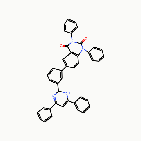 O=c1c2cc(-c3cccc(C4N=C(c5ccccc5)C=C(c5ccccc5)N4)c3)ccc2n(-c2ccccc2)c(=O)n1-c1ccccc1